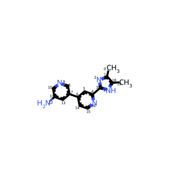 Cc1nc(-c2cc(-c3cncc(N)c3)ccn2)[nH]c1C